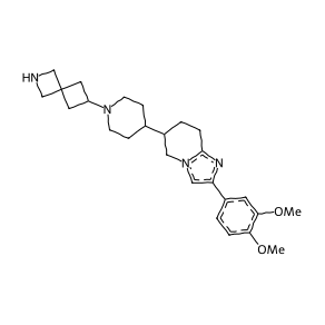 COc1ccc(-c2cn3c(n2)CCC(C2CCN(C4CC5(CNC5)C4)CC2)C3)cc1OC